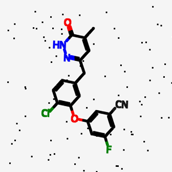 Cc1cc(Cc2ccc(Cl)c(Oc3cc(F)cc(C#N)c3)c2)n[nH]c1=O